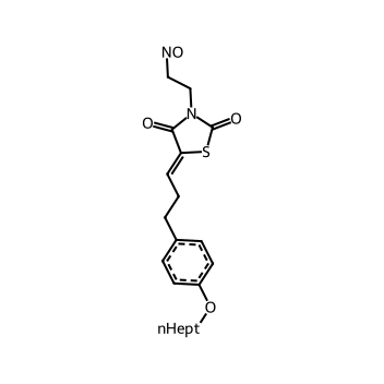 CCCCCCCOc1ccc(CC/C=C2\SC(=O)N(CCN=O)C2=O)cc1